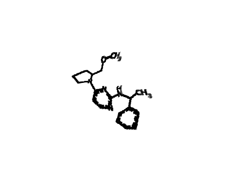 COCC1CCCN1c1ccnc(NC(C)c2ccccc2)n1